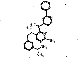 C[C@H](N)c1cccc(C[C@H](C)c2cnc(N)nc2N(C)c2ccnc(-c3ccccc3)n2)c1